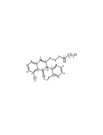 O=C(O)NCCCc1nc2cccc(Cl)c2c(=O)n1-c1ccccc1F